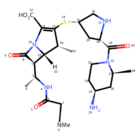 CNCC(=O)N[C@H](C)[C@H]1C(=O)N2C(C(=O)O)=C(S[C@@H]3CN[C@H](C(=O)N4CC[C@H](N)C[C@@H]4C)C3)[C@H](C)[C@H]12